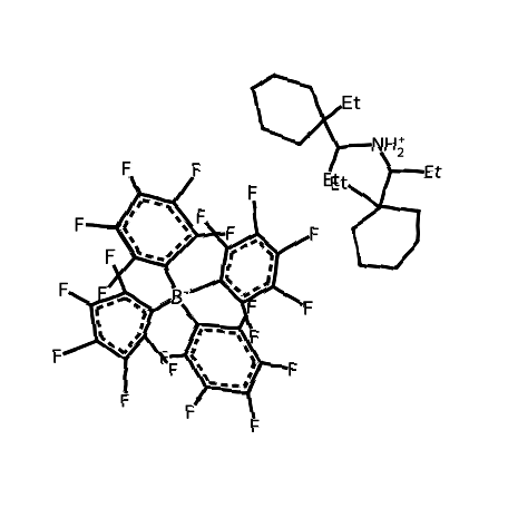 CCC([NH2+]C(CC)C1(CC)CCCCC1)C1(CC)CCCCC1.Fc1c(F)c(F)c([B-](c2c(F)c(F)c(F)c(F)c2F)(c2c(F)c(F)c(F)c(F)c2F)c2c(F)c(F)c(F)c(F)c2F)c(F)c1F